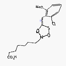 COc1cccc(Cl)c1/C=C1/ON(CCCCCCC(=O)O)OS1